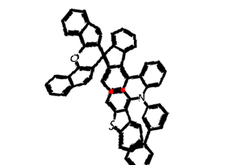 c1ccc(-c2cccc(N(c3ccccc3-c3cccc4c3-c3ccccc3C43c4ccc5ccccc5c4Oc4c3ccc3ccccc43)c3cccc4sc5ccccc5c34)c2)cc1